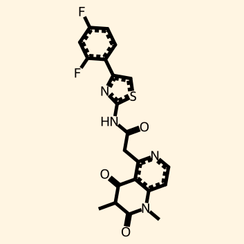 CC1C(=O)c2c(ccnc2CC(=O)Nc2nc(-c3ccc(F)cc3F)cs2)N(C)C1=O